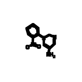 NC1=CN(c2ccccc2[N+](=O)[O-])CN=C1